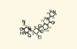 N#Cc1nn(-c2cc(Cl)c(Oc3ccc4c(c3)CCN(c3ccncc3)C4=O)c(Cl)c2)c(=O)[nH]c1=O